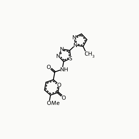 COc1ccc(C(=O)Nc2nnc(-n3nccc3C)s2)oc1=O